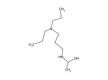 CCCN(CCC)CCCNC(C)O